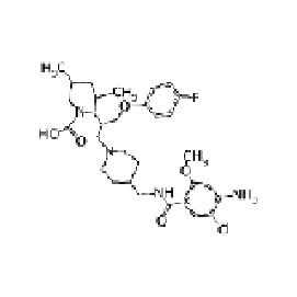 COc1cc(N)c(Cl)cc1C(=O)NCC1CCN(CC(COc2ccc(F)cc2)C2C(C)CC(C)CN2C(=O)O)CC1